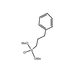 CO[Si]([O])(CCCc1ccccc1)OC